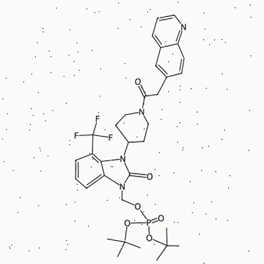 CC(C)(C)OP(=O)(OCn1c(=O)n(C2CCN(C(=O)Cc3ccc4ncccc4c3)CC2)c2c(C(F)(F)F)cccc21)OC(C)(C)C